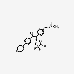 CNCCc1ccc(NC(=O)c2ccc(C3=CCNCC3)cc2)cc1.O=C(O)C(F)(F)F